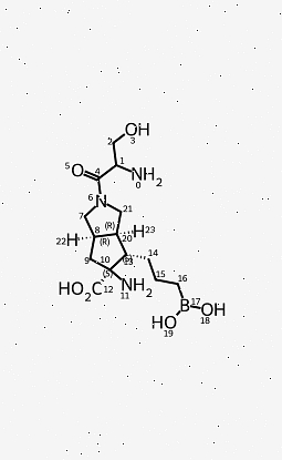 NC(CO)C(=O)N1C[C@@H]2C[C@@](N)(C(=O)O)[C@@H](CCCB(O)O)[C@@H]2C1